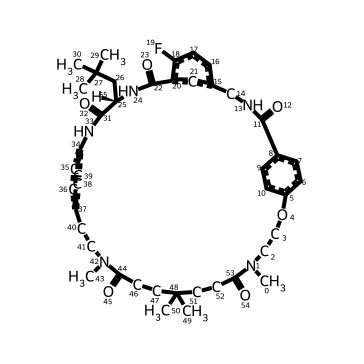 CN1CCOc2ccc(cc2)C(=O)NCc2ccc(F)c(c2)C(=O)N[C@@H](CC(C)(C)C)C(=O)Nc2ccc(cc2)CCN(C)C(=O)CCC(C)(C)CCC1=O